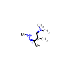 CCC/C(=N/NCC)[C@H](C)C=[N+](C)C